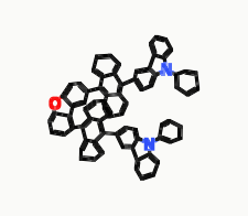 c1ccc(-n2c3ccccc3c3cc(-c4c5ccccc5c(-c5ccc6oc7cccc(-c8c9ccccc9c(-c9ccc%10c(c9)c9ccccc9n%10-c9ccccc9)c9ccccc89)c7c6c5)c5ccccc45)ccc32)cc1